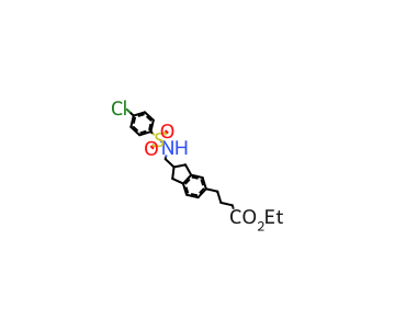 CCOC(=O)CCCc1ccc2c(c1)CC(CNS(=O)(=O)c1ccc(Cl)cc1)C2